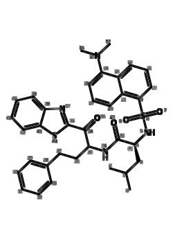 CC(C)C[C@H](NS(=O)(=O)c1cccc2c(N(C)C)cccc12)C(=O)NC(CCc1ccccc1)C(=O)c1nc2ccccc2s1